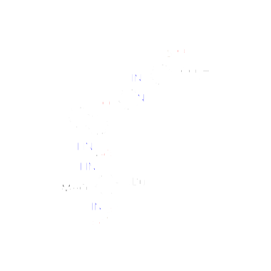 COc1c(NC(=O)Nc2ccc(Oc3ccnc(Nc4ccc(C(=O)O)c([S+](C)[O-])c4)c3)c3ccccc23)cc(C(C)(C)C)cc1NS(C)(=O)=O